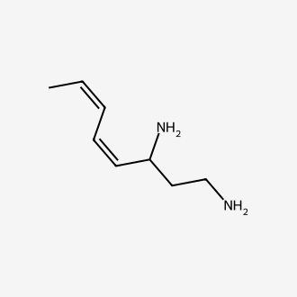 C/C=C\C=C/C(N)CCN